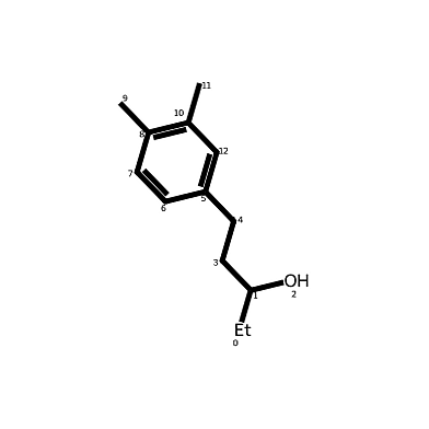 CCC(O)C[CH]c1ccc(C)c(C)c1